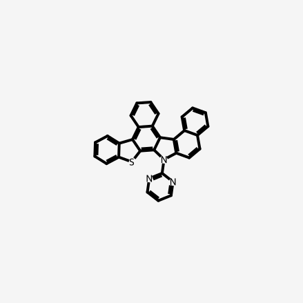 c1cnc(-n2c3ccc4ccccc4c3c3c4ccccc4c4c5ccccc5sc4c32)nc1